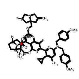 C=C1CN2C[C@H](F)CC2(COc2nc3c4c(nc(-c5nc(N(Cc6ccc(OC)cc6)Cc6ccc(OC)cc6)cc(C)c5C5CC5)c(F)c4n2)O[C@@H](C)[C@@H]2[C@@H]4CC[C@H](CN32)N4C(=O)OC(C)(C)C)C1